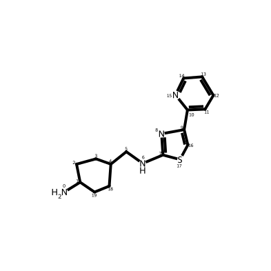 NC1CCC(CNc2nc(-c3ccccn3)cs2)CC1